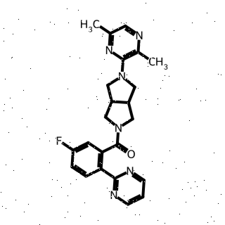 Cc1cnc(C)c(N2CC3CN(C(=O)c4cc(F)ccc4-c4ncccn4)CC3C2)n1